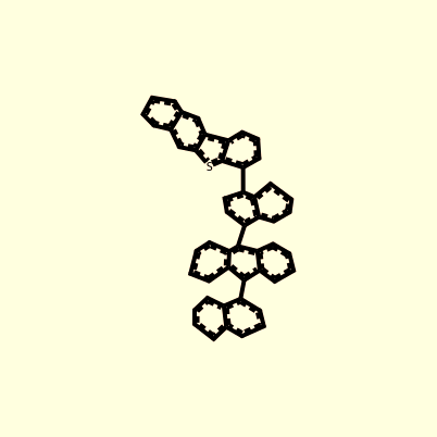 c1ccc2cc3c(cc2c1)sc1c(-c2ccc(-c4c5ccccc5c(-c5cccc6ccccc56)c5ccccc45)c4ccccc24)cccc13